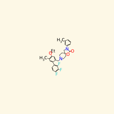 CCOc1cc(CN2CCC3(CC2)CN(c2cccc(C)c2)C(=O)O3)c(-c2ccc(F)c(F)c2F)cc1C